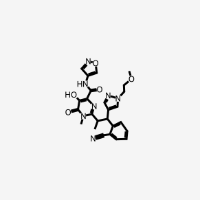 COCCn1cc(C(c2ccccc2C#N)C(C)c2nc(C(=O)Nc3cnoc3)c(O)c(=O)n2C)cn1